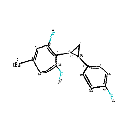 CC(C)(C)c1cc(F)c([C@H]2C[C@H]2c2ccc(F)cc2)c(F)c1